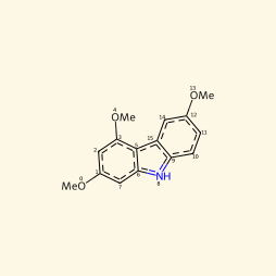 COc1cc(OC)c2c(c1)[nH]c1ccc(OC)cc12